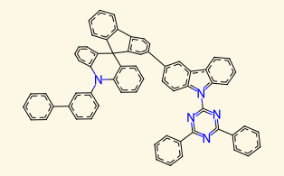 c1ccc(-c2cccc(N3c4ccccc4C4(c5ccccc5-c5ccc(-c6ccc7c(c6)c6ccccc6n7-c6nc(-c7ccccc7)nc(-c7ccccc7)n6)cc54)c4ccccc43)c2)cc1